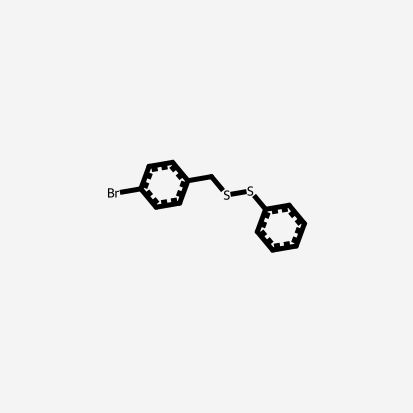 Brc1ccc(CSSc2ccccc2)cc1